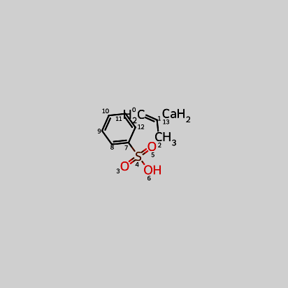 C=CC.O=S(=O)(O)c1ccccc1.[CaH2]